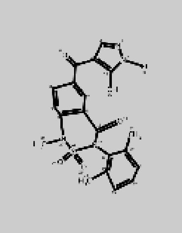 CCn1ncc(C(=O)c2ccc3c(c2)C(=O)N(c2c(C)cccc2C)S(=O)(=O)N3C)c1O